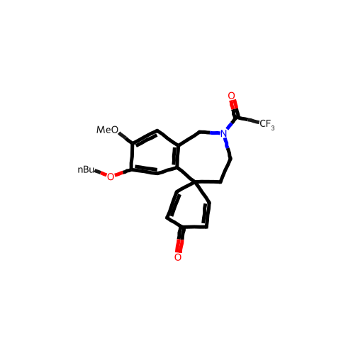 CCCCOc1cc2c(cc1OC)CN(C(=O)C(F)(F)F)CCC21C=CC(=O)C=C1